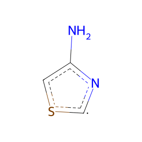 Nc1cs[c]n1